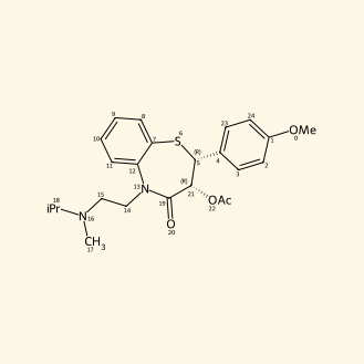 COc1ccc([C@H]2Sc3ccccc3N(CCN(C)C(C)C)C(=O)[C@H]2OC(C)=O)cc1